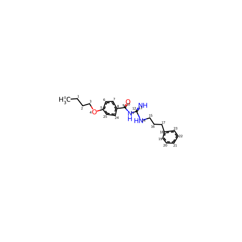 CCCCOc1ccc(C(=O)NC(=N)NCCCc2ccccc2)cc1